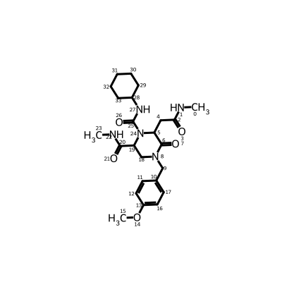 CNC(=O)CC1C(=O)N(Cc2ccc(OC)cc2)CC(C(=O)NC)N1C(=O)NC1CCCCC1